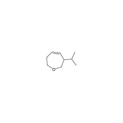 CC(C)C1C=CCCOC1